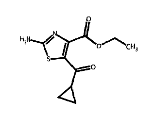 CCOC(=O)c1nc(N)sc1C(=O)C1CC1